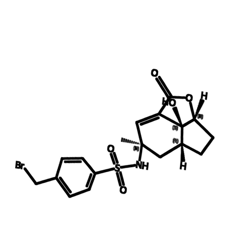 C[C@]1(NS(=O)(=O)c2ccc(CBr)cc2)C=C2C(=O)O[C@@H]3CC[C@H](C1)[C@]23O